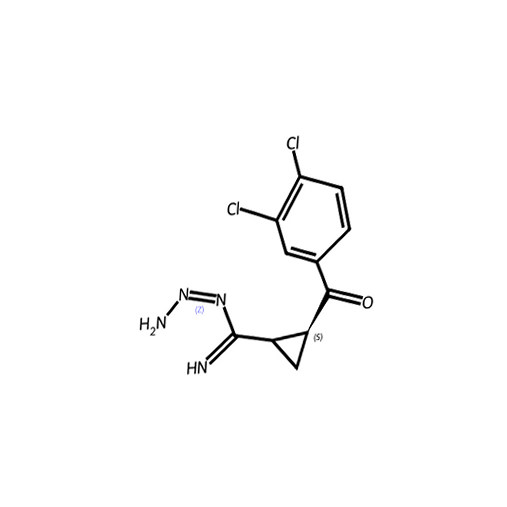 N=C(/N=N\N)C1C[C@@H]1C(=O)c1ccc(Cl)c(Cl)c1